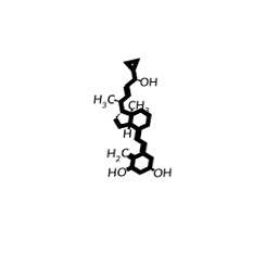 C=C1/C(=C\C=C2/CCC[C@]3(C)[C@@H]([C@H](C)/C=C/[C@@H](O)C4CC4)CC[C@@H]23)C[C@@H](O)CC1O